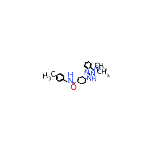 Cc1ccc(CNC(=O)[C@H]2CC[C@@H](Nc3nc(N(C)C)c4ccccc4n3)CC2)cc1